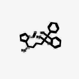 C[C@@H](CCCC(C)(C)[Si](O)(c1ccccc1)c1ccccc1)C1=CC=C[C@@H]1C=O